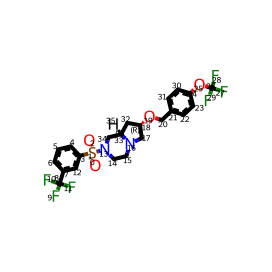 O=S(=O)(c1cccc(C(F)(F)F)c1)N1CCN2C[C@H](OCc3ccc(OC(F)(F)F)cc3)C[C@H]2C1